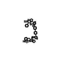 CCN(CC)[C@@H](C(=O)N1CCC[C@H]1c1ncc(-c2ccc(-c3ccc(-c4cnc([C@@H]5CCCN5C(=O)[C@H](Cc5ccccn5)NC(=O)O)[nH]4)cc3)cc2)[nH]1)c1ccccc1